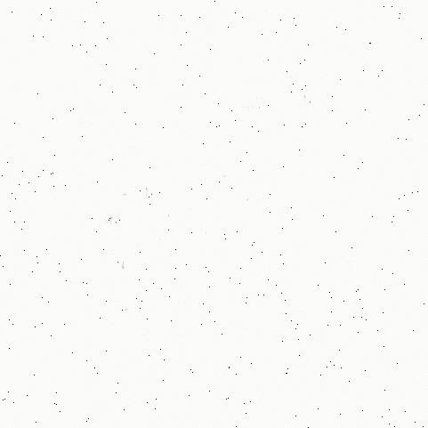 CCc1nc(-c2cccc(OCC(O)CNC)c2)cc(N(C)C2CCOCC2)n1